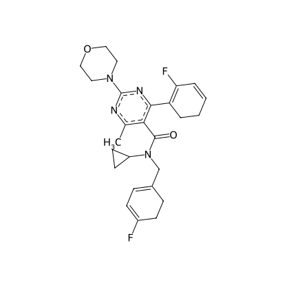 Cc1nc(N2CCOCC2)nc(C2=C(F)C=CCC2)c1C(=O)N(CC1=CC=C(F)CC1)C1CC1